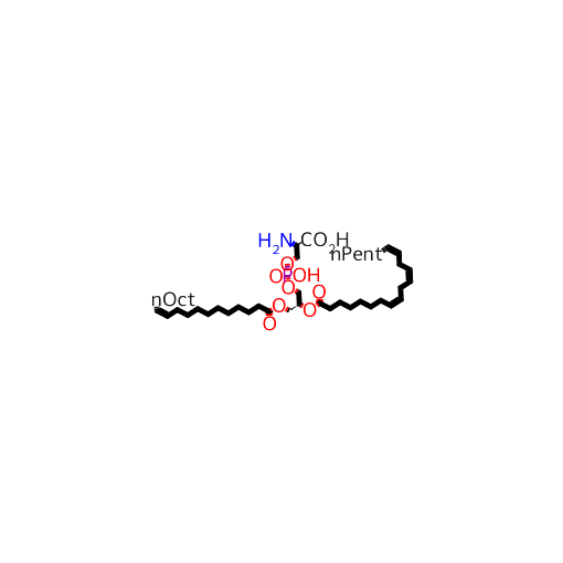 CCCCC/C=C\C/C=C\C/C=C\CCCCCCC(=O)O[C@H](COC(=O)CCCCCCCCC/C=C\CCCCCCCC)COP(=O)(O)OC[C@H](N)C(=O)O